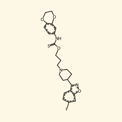 Fc1ccc2c(C3CCN(CCCOC(=S)Nc4ccc5c(c4)OCCO5)CC3)noc2c1